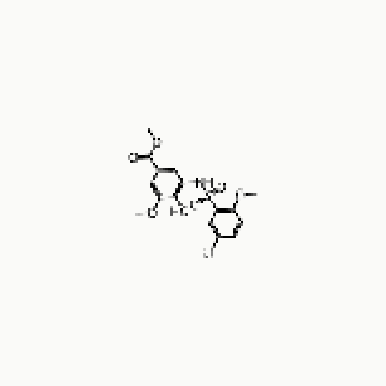 COC(=O)c1cc(NS(=O)(=O)c2cc(Cl)ccc2OC)c(O)c(OC)c1